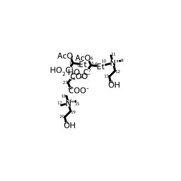 CCC(OC(C)=O)C(=O)O.CCC(OC(C)=O)C(=O)O.C[N+](C)(C)CCO.C[N+](C)(C)CCO.O=C([O-])CC(=O)[O-]